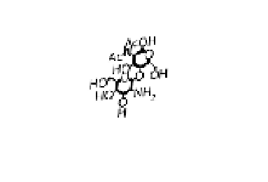 CC(=O)N(C(C)=O)[C@H]1C(O)O[C@H](CO)[C@@H](O[C@@H]2O[C@H](CO)[C@H](O)[C@H](O)[C@H]2N)[C@@H]1O